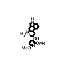 COc1ccc(N[C@@H]2CC3c4cccc5[nH]cc(c45)C[C@H]3N(C)C2)c(OC)n1